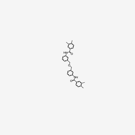 Cc1ccc(C(=O)Nc2cccc(COCc3cccc(NC(=O)c4ccc(C)c(C)c4)c3)c2)cc1C